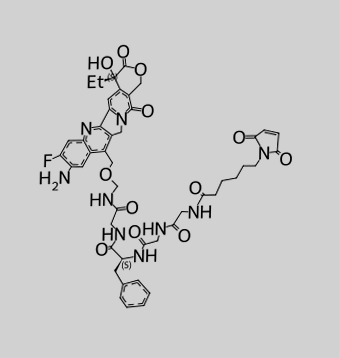 CC[C@@]1(O)C(=O)OCc2c1cc1n(c2=O)Cc2c-1nc1cc(F)c(N)cc1c2COCNC(=O)CNC(=O)[C@H](Cc1ccccc1)NC(=O)CNC(=O)CNC(=O)CCCCCN1C(=O)C=CC1=O